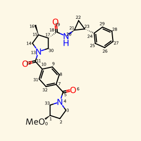 CO[C@@H]1CCN(C(=O)c2ccc(C(=O)N3C[C@@H](C)[C@H](C(=O)N[C@H]4C[C@@H]4c4ccccc4)C3)cc2)C1